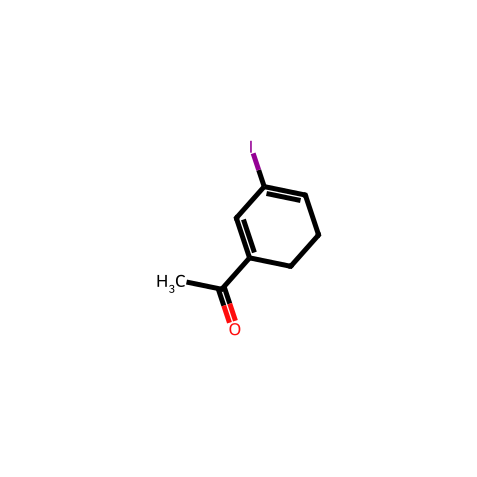 CC(=O)C1=CC(I)=CCC1